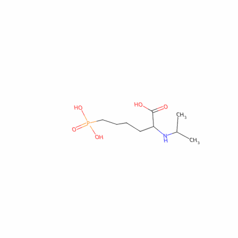 CC(C)NC(CCCCP(=O)(O)O)C(=O)O